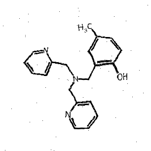 Cc1ccc(O)c(CN(Cc2ccccn2)Cc2ccccn2)c1